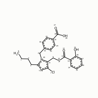 CCCCc1nc(Cl)c(CSC(=O)c2ccccc2O)n1Cc1ccc(C(=O)O)cc1